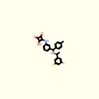 Cc1ccc(C(NC(C)c2cc(F)cc(F)c2)c2cccc(Nc3c(O)c(=O)c3=O)c2)cc1